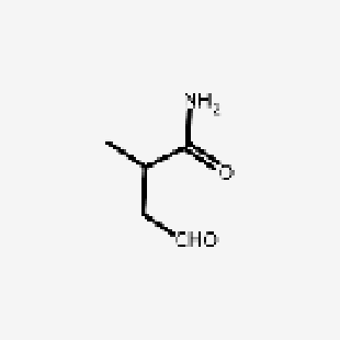 CC(CC=O)C(N)=O